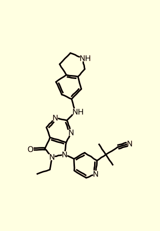 CCn1c(=O)c2cnc(Nc3ccc4c(c3)CNCC4)nc2n1-c1ccnc(C(C)(C)C#N)c1